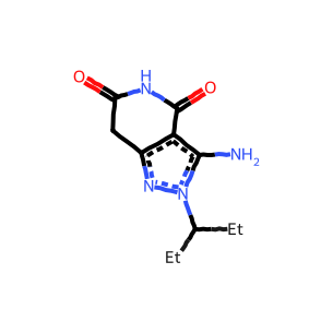 CCC(CC)n1nc2c(c1N)C(=O)NC(=O)C2